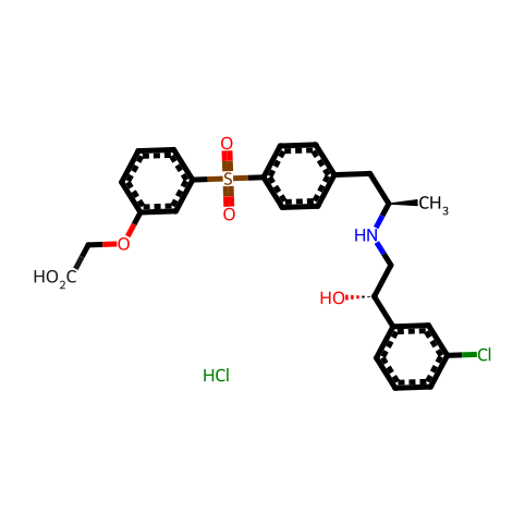 C[C@H](Cc1ccc(S(=O)(=O)c2cccc(OCC(=O)O)c2)cc1)NC[C@@H](O)c1cccc(Cl)c1.Cl